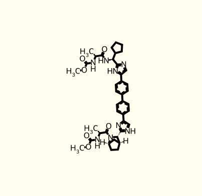 COC(=O)N[C@@H](C)C(=O)N[C@H](c1ncc(-c2ccc(-c3ccc(-c4c[nH]c([C@@H]5[C@H]6CC[C@H](C6)N5C(=O)[C@H](C)NC(=O)OC)n4)cc3)cc2)[nH]1)C1CCCC1